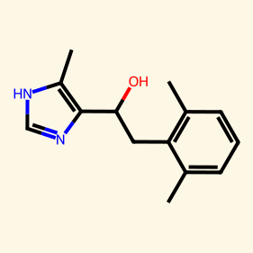 Cc1cccc(C)c1CC(O)c1nc[nH]c1C